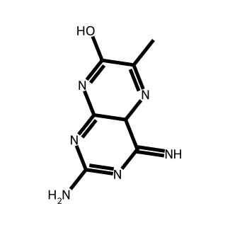 CC1=NC2C(=N)N=C(N)N=C2N=C1O